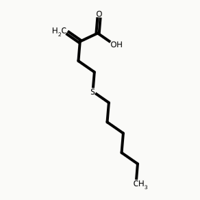 C=C(CCSCCCCCC)C(=O)O